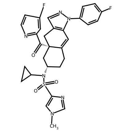 Cn1cnc(S(=O)(=O)N(C2CC2)[C@H]2CCC3=Cc4c(cnn4-c4ccc(F)cc4)C[C@]3(C(=O)c3cc(F)ccn3)C2)c1